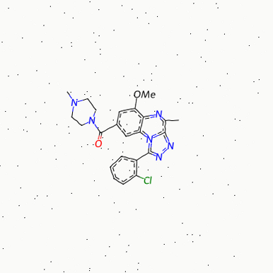 COc1cc(C(=O)N2CCN(C)CC2)cc2c1nc(C)c1nnc(-c3ccccc3Cl)n12